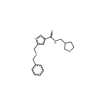 O=C(NCC1CCOC1)c1cc(CSCc2ccccc2)on1